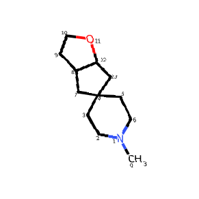 CN1CCC2(CC1)CC1CCOC1C2